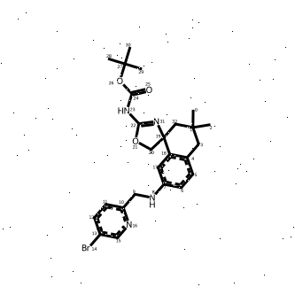 CC1(C)Cc2ccc(NCc3ccc(Br)cn3)cc2C2(COC(NC(=O)OC(C)(C)C)=N2)C1